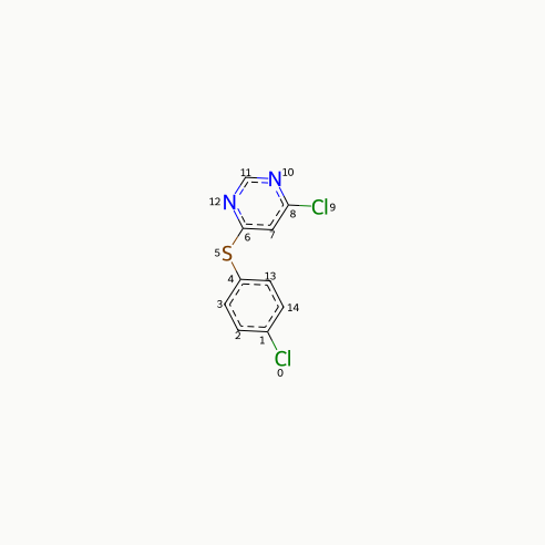 Clc1ccc(Sc2cc(Cl)ncn2)cc1